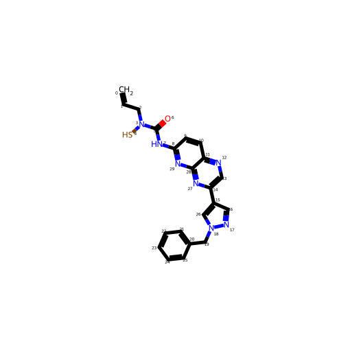 C=CCN(S)C(=O)Nc1ccc2ncc(-c3cnn(Cc4ccccc4)c3)nc2n1